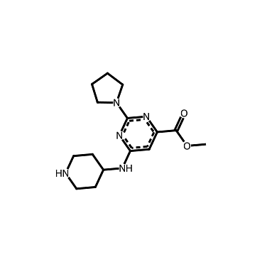 COC(=O)c1cc(NC2CCNCC2)nc(N2CCCC2)n1